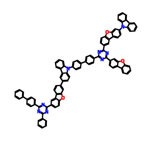 c1ccc(-c2ccc(-c3nc(-c4ccccc4)nc(-c4ccc5oc6cc(-c7ccc8c(c7)c7ccccc7n8-c7ccc(-c8ccc(-c9nc(-c%10ccc%11c(c%10)oc%10ccccc%10%11)nc(-c%10ccc%11oc%12cc(-n%13c%14ccccc%14c%14ccccc%14%13)ccc%12c%11c%10)n9)cc8)cc7)ccc6c5c4)n3)cc2)cc1